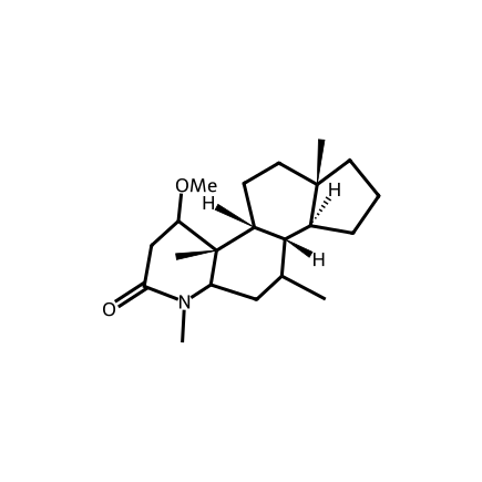 COC1CC(=O)N(C)C2CC(C)[C@@H]3[C@@H](CC[C@]4(C)CCC[C@@H]34)[C@@]12C